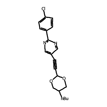 CCCCC1COC(C#Cc2cnc(-c3ccc(Cl)cc3)nc2)OC1